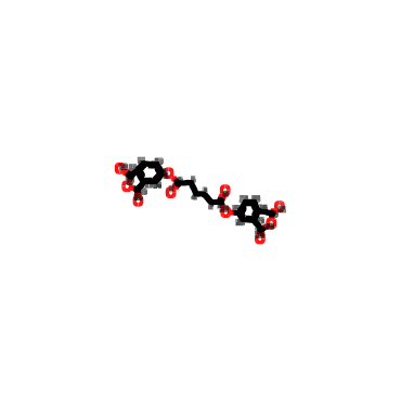 O=C(CCCCC(=O)Oc1ccc2c(c1)C(=O)OC2=O)Oc1ccc2c(c1)C(=O)OC2=O